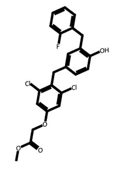 COC(=O)COc1cc(Cl)c(Cc2ccc(O)c(Cc3ccccc3F)c2)c(Cl)c1